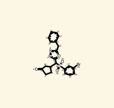 O=C1CCC(C(c2nnc(Cc3ccccc3)o2)S(=O)(=O)c2cccc(Br)c2)C1